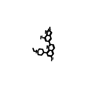 CCN1CCC(c2cc(F)cc3ccc(-c4cc(F)c5nn(C)cc5c4)nc23)CC1